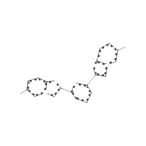 Cc1ccc2nc(-c3cccc(-c4cn5cc(C)ccc5n4)n3)cn2c1